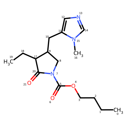 CCCCOC(=O)N1CC(Cc2cncn2C)C(CC)C1=O